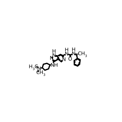 C[C@@H](NC(=O)Nc1cc2[nH]nc(NC3CCC(N(C)C)CC3)c2cn1)c1ccccc1